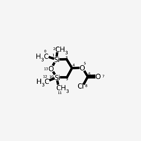 C[Si]1(C)CC(OC(=O)Cl)C[Si](C)(C)O1